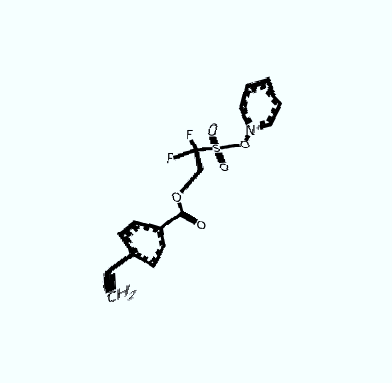 C=Cc1ccc(C(=O)OCC(F)(F)S(=O)(=O)O[n+]2ccccc2)cc1